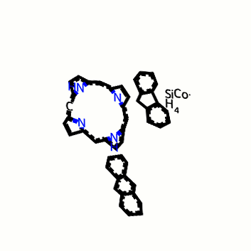 C1=Cc2cc3ccc(cc4nc(cc5ccc(cc1n2)[nH]5)C=C4)[nH]3.[Co].[SiH4].c1ccc2c(c1)Cc1ccccc1-2.c1ccc2cc3ccccc3cc2c1